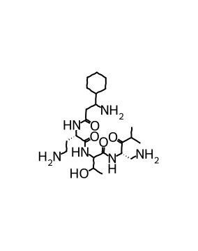 CC(C)C(=O)[C@H](CN)NC(=O)C(NC(=O)[C@H](CCN)NC(=O)CC(N)C1CCCCC1)C(C)O